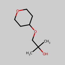 CC(C)(O)COC1CCOCC1